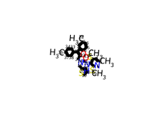 CSc1cc(C)nc(SC)c1NC(=O)N(Cc1cccs1)Cc1oc2ccc(C)cc2c1-c1ccc(C)cc1